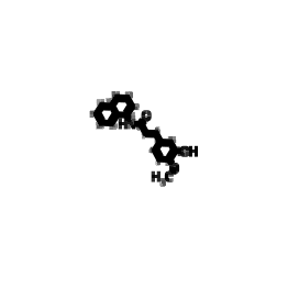 COc1ccc(C=CC(=O)Nc2cccc3ccccc23)cc1O